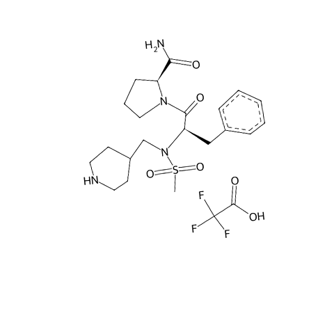 CS(=O)(=O)N(CC1CCNCC1)[C@H](Cc1ccccc1)C(=O)N1CCC[C@H]1C(N)=O.O=C(O)C(F)(F)F